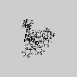 FC(F)(F)C1(C(F)(F)F)OC2C1C1CCC2(COc2ccccc2[S+](c2ccccc2)c2ccccc2OCC23CCC(C2)C2C3OC2(C(F)(F)F)C(F)(F)F)C1.O=S(=O)([O-])C(F)(F)F